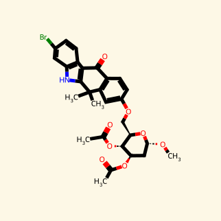 CO[C@@H]1C[C@@H](OC(C)=O)[C@H](OC(C)=O)[C@@H](COc2ccc3c(c2)C(C)(C)c2[nH]c4cc(Br)ccc4c2C3=O)O1